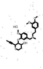 CC#CC1SCCC(O)C1Oc1cc(CN(C)CCc2ccc(OC)c(OC)c2)ccc1OC.Cl